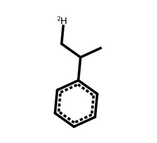 [2H]CC(C)c1ccccc1